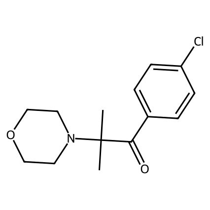 CC(C)(C(=O)c1ccc(Cl)cc1)N1CCOCC1